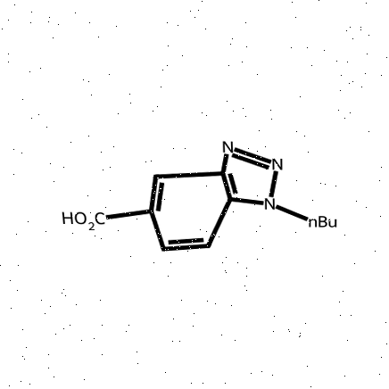 CCCCn1nnc2cc(C(=O)O)ccc21